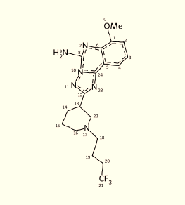 COc1cccc2c1nc(N)n1nc(C3CCCN(CCCC(F)(F)F)C3)nc21